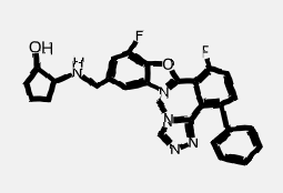 Cn1cnnc1-c1c(-c2ccccc2)ccc(F)c1-c1nc2cc(CNC3CCCC3O)cc(F)c2o1